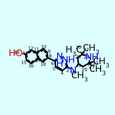 CN(C(=N)/C=C\C(=N)c1ccc2cc(O)ccc2c1)C1CC(C)(C)NC(C)(C)C1